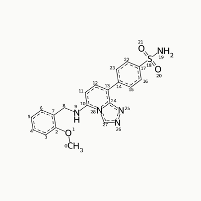 COc1ccccc1CNc1ccc(-c2ccc(S(N)(=O)=O)cc2)c2nncn12